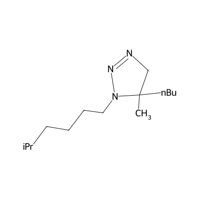 CCCCC1(C)CN=NN1CCCCC(C)C